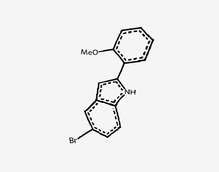 COc1ccccc1-c1cc2cc(Br)ccc2[nH]1